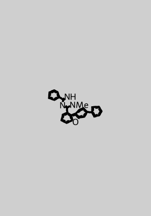 CN/C(=N\C(=N)c1ccccc1)c1cccc2oc3cc(-c4ccccc4)ccc3c12